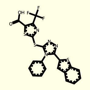 O=C(O)c1sc(Sc2nnc(-c3cc4ccccc4s3)n2-c2ccccc2)nc1C(F)(F)F